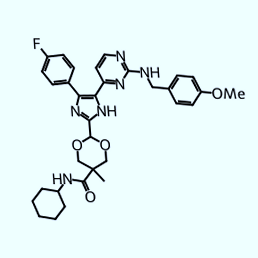 COc1ccc(CNc2nccc(-c3[nH]c(C4OCC(C)(C(=O)NC5CCCCC5)CO4)nc3-c3ccc(F)cc3)n2)cc1